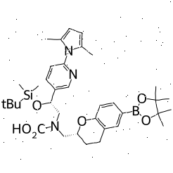 Cc1ccc(C)n1-c1ccc([C@H](CN(C[C@H]2CCc3cc(B4OC(C)(C)C(C)(C)O4)ccc3O2)C(=O)O)O[Si](C)(C)C(C)(C)C)cn1